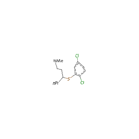 CCCC(CCNC)Sc1cc(Cl)ccc1Cl